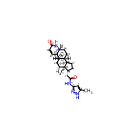 Cc1cc(NC(=O)C[C@H]2CC[C@H]3[C@@H]4CC[C@H]5NC(=O)C=C[C@]5(C)[C@H]4CC[C@]23C)n[nH]1